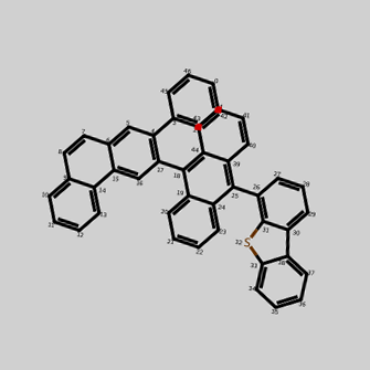 c1ccc(-c2cc3ccc4ccccc4c3cc2-c2c3ccccc3c(-c3cccc4c3sc3ccccc34)c3ccccc23)cc1